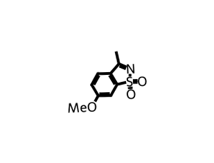 COc1ccc2c(c1)S(=O)(=O)N=C2C